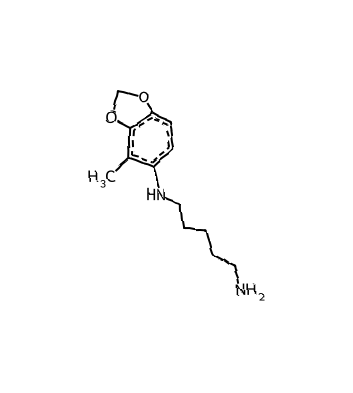 Cc1c(NCCCCCN)ccc2c1OCO2